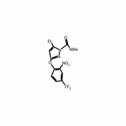 CCc1cc(Oc2ccc(C(F)(F)F)cc2[N+](=O)[O-])nn1C(=O)NC